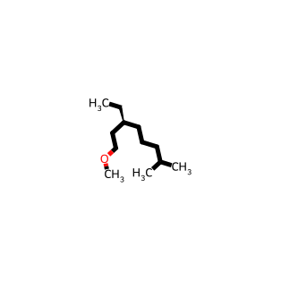 CC[C@@H](CCCC(C)C)CCOC